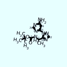 C[C@H](NC(=O)OC(C)(C)C)c1ncnn1-c1cc(N)ncn1